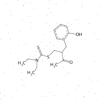 CCN(CC)C(=S)SCC(Cc1ccccc1O)C(C)=O